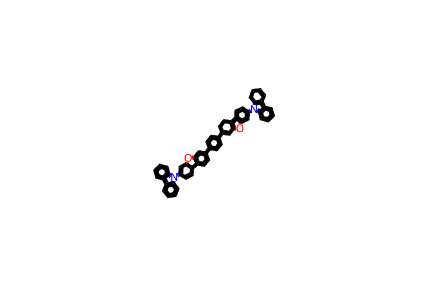 C1=Cc2c(n(-c3ccc4c5c(oc4c3)C=C(c3ccc(-c4ccc6c(c4)OC4C=C(n7c8ccccc8c8ccccc87)C=CC64)cc3)CC5)c3ccccc23)CC1